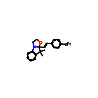 CCCc1ccc(C=CC23OCCN2c2ccccc2C3(C)C)cc1